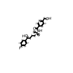 O=C(NS(=O)(=O)CCCC(O)c1ccc(F)cc1)c1ccc(CO)nc1